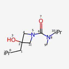 CC(C)CC1(O)CN(C(=O)N(C)C(C)C)C1